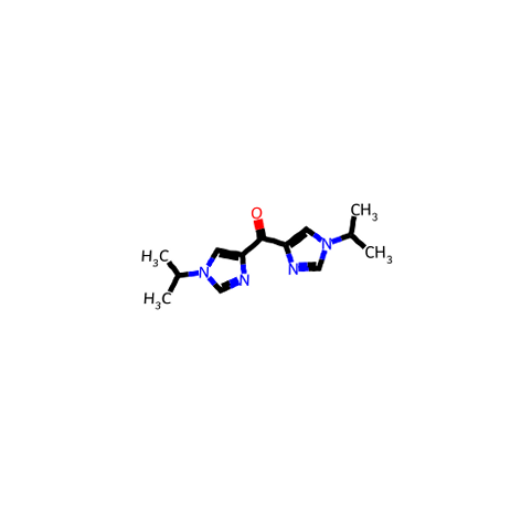 CC(C)n1cnc(C(=O)c2cn(C(C)C)cn2)c1